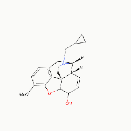 COc1ccc2c3c1OC1C(O)C=C[C@H]4[C@@H](C2)N(CC2CC2)CC[C@]314